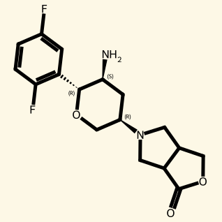 N[C@H]1C[C@@H](N2CC3COC(=O)C3C2)CO[C@@H]1c1cc(F)ccc1F